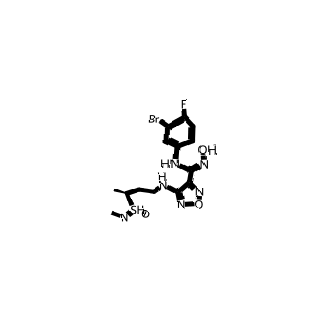 C/N=[SH](=O)\[C@@H](C)CCNc1nonc1/C(=N/O)Nc1ccc(F)c(Br)c1